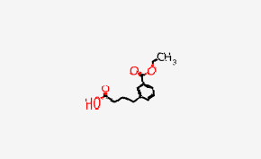 CCOC(=O)c1cccc(CCCC(=O)O)c1